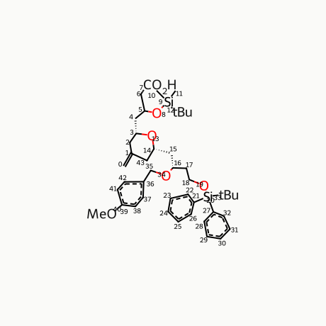 C=C1C[C@H](CC(CC(=O)O)O[Si](C)(C)C(C)(C)C)O[C@H](C[C@H](CCO[Si](c2ccccc2)(c2ccccc2)C(C)(C)C)OCc2ccc(OC)cc2)C1